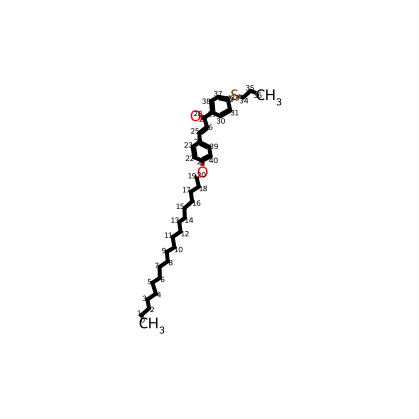 CCCCCCCCCCCCCCCCCCCCOc1ccc(C=CC(=O)c2ccc(SCCC)cc2)cc1